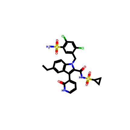 CCc1ccc2c(c1)c(-c1ccc[nH]c1=O)c(C(=O)NS(=O)(=O)C1CC1)n2Cc1cc(S(N)(=O)=O)c(Cl)cc1Cl